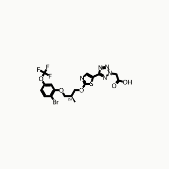 C[C@H](COc1ncc(-c2nnn(CC(=O)O)n2)s1)COc1cc(OC(F)(F)F)ccc1Br